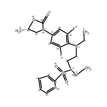 CCN(CCN(NC)S(=O)(=O)c1ccccn1)c1c(F)cc(N2C[C@H](C)OC2=O)cc1F